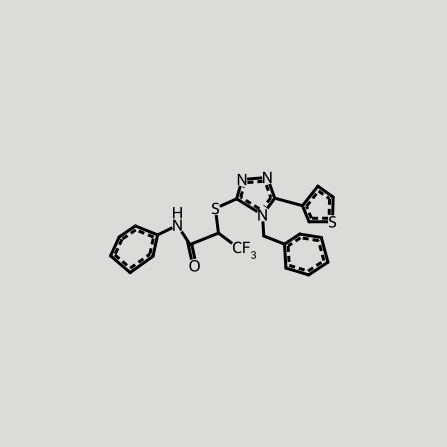 O=C(Nc1ccccc1)C(Sc1nnc(-c2ccsc2)n1Cc1ccccc1)C(F)(F)F